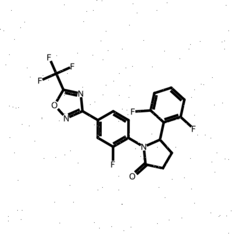 O=C1CCC(c2c(F)cccc2F)N1c1ccc(-c2noc(C(F)(F)F)n2)cc1F